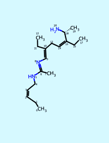 CC/C=C\CN/C(C)=N/C=C(\CC)C/C=C(/CC)[C@@H](C)N